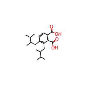 CC(C)C(C)Cc1ccc(C(=O)O)c(C(=O)O)c1CC(C)C(C)C